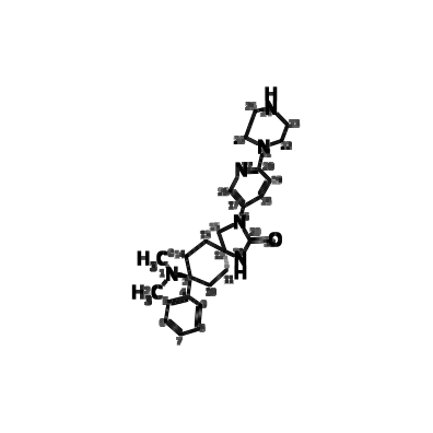 CN(C)[C@]1(c2ccccc2)CC[C@]2(CC1)CN(c1ccc(N3CCNCC3)nc1)C(=O)N2